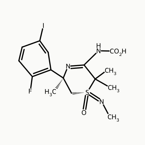 CN=[S@]1(=O)C[C@@](C)(c2cc(I)ccc2F)N=C(NC(=O)O)C1(C)C